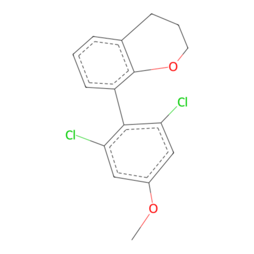 COc1cc(Cl)c(-c2cccc3c2OCCC3)c(Cl)c1